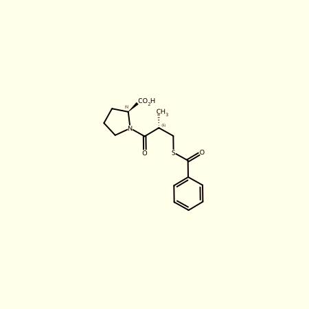 C[C@H](CSC(=O)c1ccccc1)C(=O)N1CCC[C@H]1C(=O)O